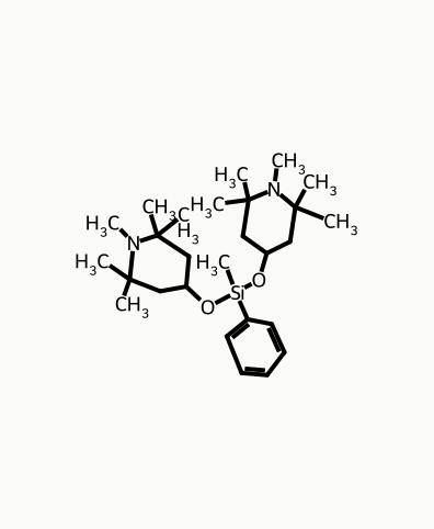 CN1C(C)(C)CC(O[Si](C)(OC2CC(C)(C)N(C)C(C)(C)C2)c2ccccc2)CC1(C)C